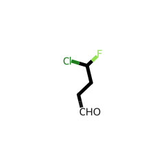 O=CCCC(F)Cl